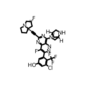 Oc1cc(Cl)c(C(F)(F)F)c(-c2nnc3c(N4C[C@@H]5C[C@H]4CN5)nc(C#C[C@@]45CCCN4C[C@H](F)C5)nc3c2F)c1